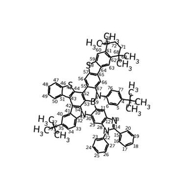 CC(C)(C)c1ccc(N2B3c4cc5nc(-c6ccccc6)n(-c6ccccc6)c5cc4-n4c5ccc(C(C)(C)C)cc5c5c6c(sc7ccccc76)c(c3c54)-c3cc4sc5cc6c(cc5c4cc32)C(C)(C)CCC6(C)C)cc1